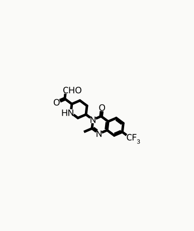 Cc1nc2cc(C(F)(F)F)ccc2c(=O)n1C1CCC(C(=O)C=O)NC1